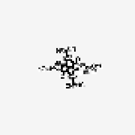 [C-]#[N+]C([N+]#[C-])=c1sc2c(s1)c1c(=O)n(CC(CCCCCCCC)CCCCCCCCCC)c(=O)c3c4sc(=C(C#N)C#N)sc4c4c(=O)n(CC(CCCCCCCC)CCCCCCCCCC)c(=O)c2c4c31